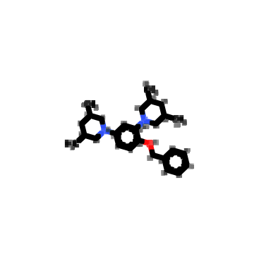 CC1CC(C)CN(c2ccc(OCc3ccccc3)c(N3CC(C)CC(C)C3)c2)C1